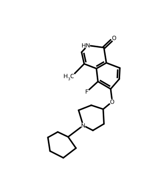 Cc1c[nH]c(=O)c2ccc(OC3CCN(C4CCCCC4)CC3)c(F)c12